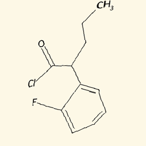 CCCC(C(=O)Cl)c1ccccc1F